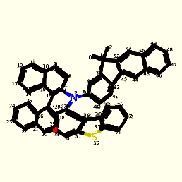 CC1(C)c2cc(N(c3ccc4ccccc4c3-c3cccc4ccccc34)c3cccc4sc5ccccc5c34)ccc2-c2cc3ccccc3cc21